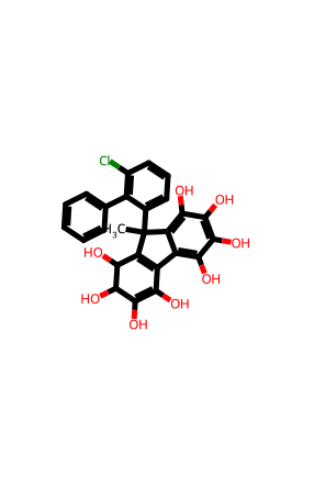 CC1(c2cccc(Cl)c2-c2ccccc2)C2=C(C(O)=C(O)C(O)C2O)c2c(O)c(O)c(O)c(O)c21